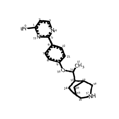 CC(C)c1ccnc(-c2ccc(OC(C)C3CC4CNCC3C4)cc2)n1